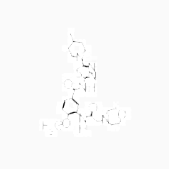 CC1CCN(c2nnc(NC(=O)c3ccc(OC(F)(F)F)c(NC(=O)CN4CCOCC4)c3)s2)CC1